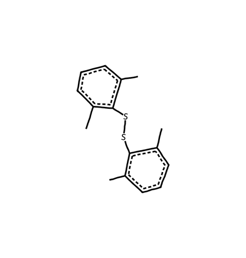 Cc1cccc(C)c1SSc1c(C)cccc1C